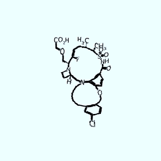 C[C@@H]1[C@@H](C)C/C=C(\F)[C@H](COCC(=O)O)N2CC[C@H]2CN2CCCCc3cc(Cl)ccc3COc3ccc(cc32)C(=O)NS1(=O)=O